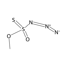 COS(=O)(=S)N=[N+]=[N-]